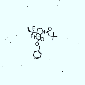 C=CC(F)(F)C1(NC(=O)OCC2=CC=CCC2)CCN(C(=O)CC(C)(C)C)C1